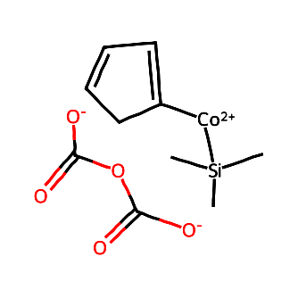 C[Si](C)(C)[Co+2][C]1=CC=CC1.O=C([O-])OC(=O)[O-]